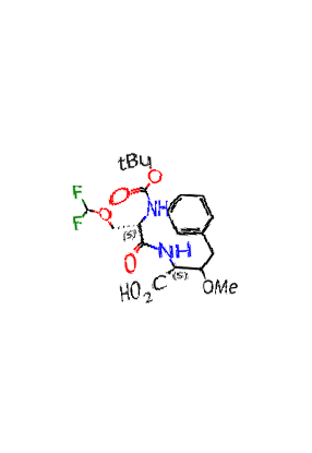 COC(Cc1ccccc1)[C@H](NC(=O)[C@H](COC(F)F)NC(=O)OC(C)(C)C)C(=O)O